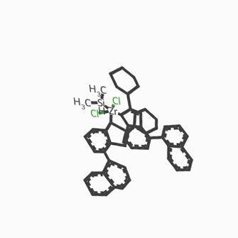 C[SiH](C)[Zr]([Cl])([Cl])([CH]1C(C2CCCCC2)=Cc2c(-c3cccc4ccccc34)cccc21)[CH]1C(C2CCCCC2)=Cc2c(-c3cccc4ccccc34)cccc21